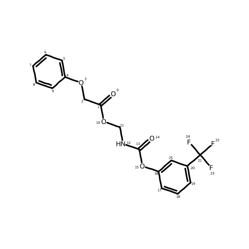 O=C(COc1ccccc1)OCNC(=O)Oc1cccc(C(F)(F)F)c1